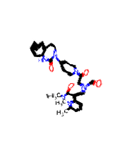 Cc1cccc(/C(=C/N(C=O)CC(=O)N2CCC(N3CCc4ccccc4NC3=O)CC2)C(=O)N(C)C)n1